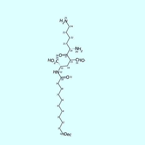 CCCCCCCCCCCCCCCCCCCC(=O)N[C@@H](CC([C]=O)C(=O)[C@@H](N)CCCCN)C(=O)O